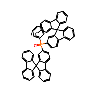 Cc1ccc2c(c1)C1(c3ccccc3-2)c2ccccc2-c2ccc(P(=O)(c3ccccc3)c3ccc4c(c3)C3(c5ccccc5-c5ccccc53)c3ccccc3-4)cc21